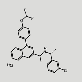 CC(N[C@H](C)c1cccc(Cl)c1)c1cc(-c2ccc(OC(F)F)cc2)c2ccccc2c1.Cl